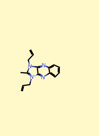 C=CCn1c(C)[n+](CC=C)c2nc3ccccc3nc21